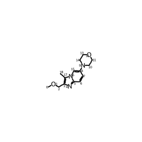 COCc1nc2ccc(N3CCOCC3)cn2c1C